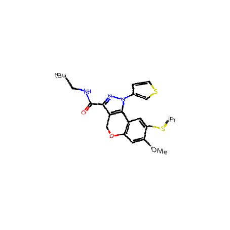 COc1cc2c(cc1SC(C)C)-c1c(c(C(=O)NCC(C)(C)C)nn1-c1ccsc1)CO2